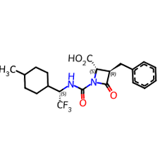 CC1CCC([C@H](NC(=O)N2C(=O)[C@H](Cc3ccccc3)[C@H]2C(=O)O)C(F)(F)F)CC1